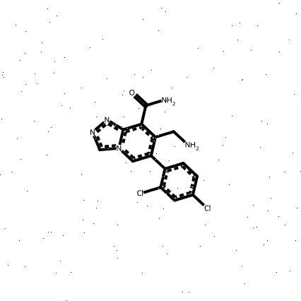 NCc1c(-c2ccc(Cl)cc2Cl)cn2[c]nnc2c1C(N)=O